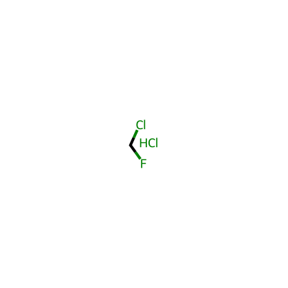 Cl.FCCl